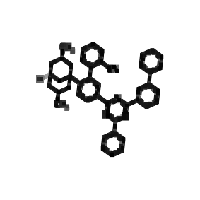 C[C@@H]1C[C@@H]2C[C@H](C)CC(c3ccc(-c4nc(-c5ccccc5)nc(-c5cccc(-c6ccccc6)c5)n4)cc3-c3ccccc3C#N)(C1)C2